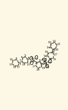 O=S(=O)(Oc1ccc(-c2ccccc2)cc1)c1cccc(S(=O)(=O)Oc2ccc(-c3ccccc3)cc2)c1